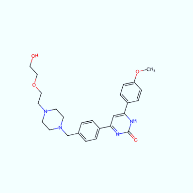 COc1ccc(-c2cc(-c3ccc(CN4CCN(CCOCCO)CC4)cc3)nc(=O)[nH]2)cc1